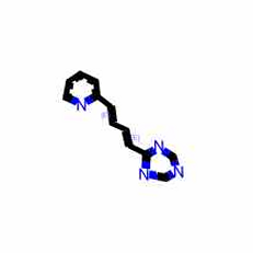 C(/C=C/c1ncncn1)=C\c1ccccn1